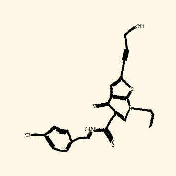 CCn1cc(C(=S)NCc2ccc(Cl)cc2)c(=S)c2cc(C#CCO)sc21